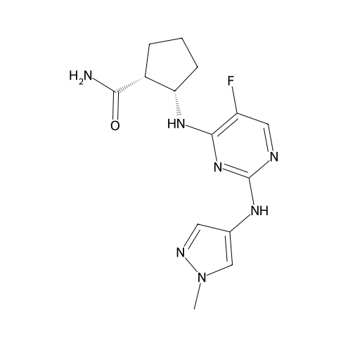 Cn1cc(Nc2ncc(F)c(N[C@H]3CCC[C@H]3C(N)=O)n2)cn1